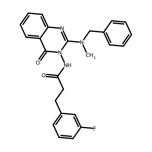 CN(Cc1ccccc1)c1nc2ccccc2c(=O)n1NC(=O)CCc1cccc(F)c1